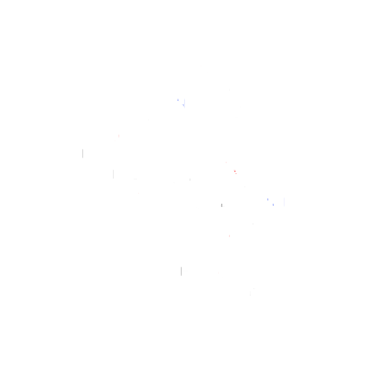 CCC(C[C@@H]1C[C@H](c2ccc(OC)cc2)[C@@H](OCc2ccc3c(c2)N(CCCOC)CCO3)CN1)C(=O)OC